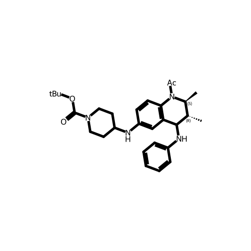 CC(=O)N1c2ccc(NC3CCN(C(=O)OC(C)(C)C)CC3)cc2C(Nc2ccccc2)[C@@H](C)[C@@H]1C